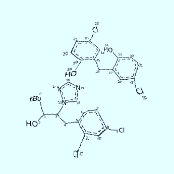 CC(C)(C)C(O)C(Cc1ccc(Cl)cc1Cl)n1cncn1.Oc1ccc(Cl)cc1Cc1cc(Cl)ccc1O